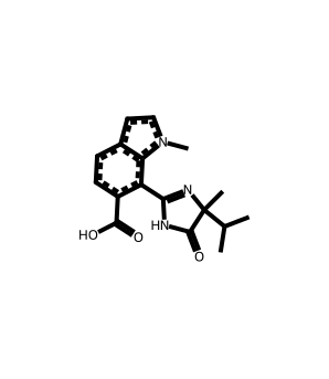 CC(C)C1(C)N=C(c2c(C(=O)O)ccc3ccn(C)c23)NC1=O